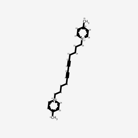 Cc1cc[n+](CCCCC#CC#CCCCC[n+]2ccc(C)cc2)cc1